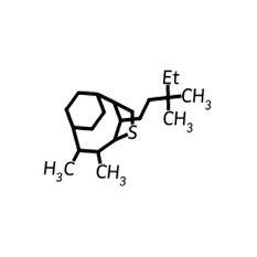 CCC(C)(C)CCC1C2CSC1C(C)C(C)C1CCC2CC1